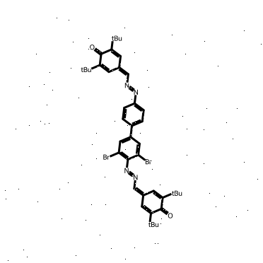 CC(C)(C)C1=CC(=C/N=N/c2ccc(-c3cc(Br)c(/N=N/C=C4C=C(C(C)(C)C)C(=O)C(C(C)(C)C)=C4)c(Br)c3)cc2)C=C(C(C)(C)C)C1=O